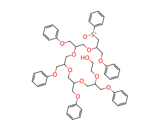 [O-][S+](CC(COc1ccccc1)OCC(COc1ccccc1)OCC(COc1ccccc1)OCC(COc1ccccc1)OCC(COc1ccccc1)OCCO)c1ccccc1